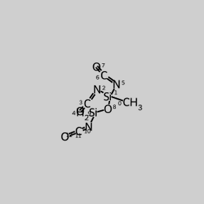 C[Si](N=C=O)(N=C=O)O[SiH2]N=C=O